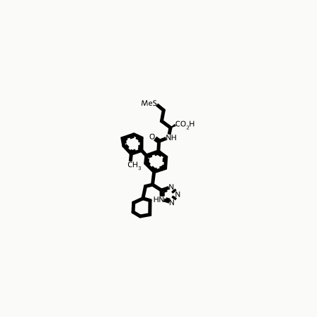 CSCC[C@H](NC(=O)c1ccc(C(CC2CCCCC2)c2nnn[nH]2)cc1-c1ccccc1C)C(=O)O